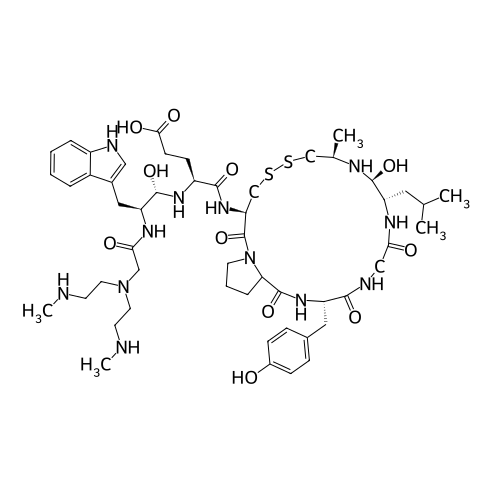 CNCCN(CCNC)CC(=O)N[C@@H](Cc1c[nH]c2ccccc12)[C@H](O)N[C@@H](CCC(=O)O)C(=O)N[C@H]1CSSC[C@@H](C)N[C@@H](O)[C@H](CC(C)C)NC(=O)CNC(=O)[C@H](Cc2ccc(O)cc2)NC(=O)C2CCCN2C1=O